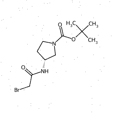 CC(C)(C)OC(=O)N1CC[C@@H](NC(=O)CBr)C1